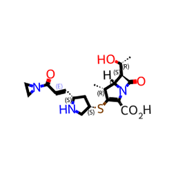 C[C@@H](O)[C@H]1C(=O)N2C(C(=O)O)=C(S[C@@H]3CN[C@H](/C=C/C(=O)N4CC4)C3)[C@H](C)[C@H]12